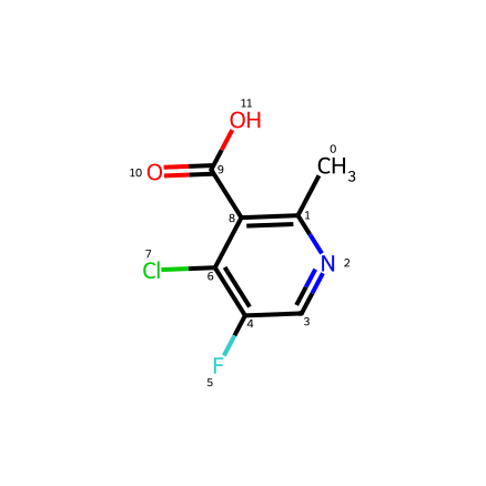 Cc1ncc(F)c(Cl)c1C(=O)O